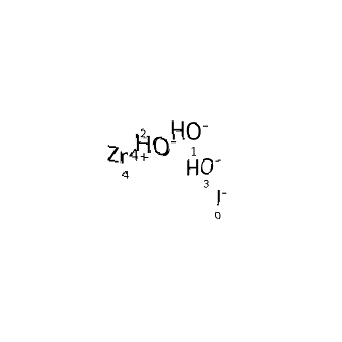 [I-].[OH-].[OH-].[OH-].[Zr+4]